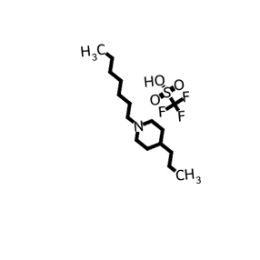 CCCCCCCN1CCC(CCC)CC1.O=S(=O)(O)C(F)(F)F